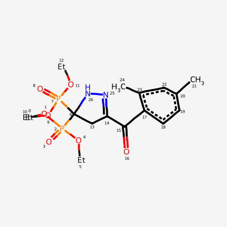 CCOP(=O)(OCC)C1(P(=O)(OCC)OCC)CC(C(=O)c2ccc(C)cc2C)=NN1